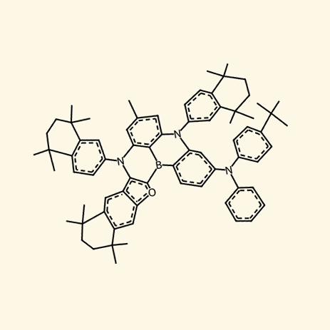 Cc1cc2c3c(c1)N(c1ccc4c(c1)C(C)(C)CCC4(C)C)c1c(oc4cc5c(cc14)C(C)(C)CCC5(C)C)B3c1ccc(N(c3ccccc3)c3ccc(C(C)(C)C)cc3)cc1N2c1ccc2c(c1)C(C)(C)CCC2(C)C